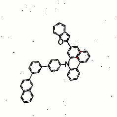 c1ccc(-c2ccccc2N(c2ccc(-c3cccc(-c4ccc5ccccc5c4)c3)cc2)c2cccc(-c3cc4ccccc4o3)c2)cc1